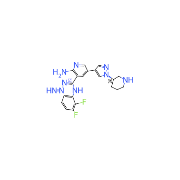 N=N/N=C(\Nc1cccc(F)c1F)c1cc(-c2cnn([C@@H]3CCCNC3)c2)cnc1N